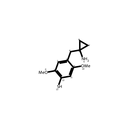 COc1cc(CC2(N)CC2)c(OC)cc1S